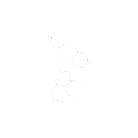 CC(CN)CCc1nc2cccc(Cl)c2c(=O)n1-c1cncc(F)c1